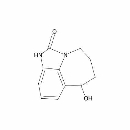 O=c1[nH]c2cccc3c2n1CCCC3O